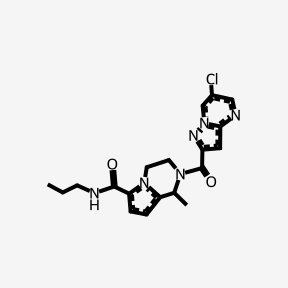 CCCNC(=O)c1ccc2n1CCN(C(=O)c1cc3ncc(Cl)cn3n1)C2C